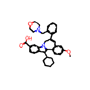 COc1ccc2c(c1)C=C(c1ccccc1CN1CCOCC1)Cn1c-2c(C2CCCCC2)c2ccc(C(=O)O)cc21